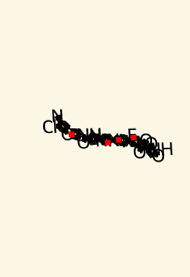 N#Cc1ccc(O[C@H]2CC[C@H](NC(=O)c3ccc(N4CCC(N5CC6(CCN(c7cc8c(cc7F)C(=O)N(C7CCC(=O)NC7=O)C8=O)CC6)C5)CC4)nc3)CC2)cc1Cl